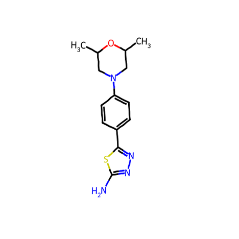 CC1CN(c2ccc(-c3nnc(N)s3)cc2)CC(C)O1